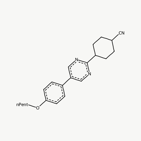 CCCCCOc1ccc(-c2cnc(C3CCC(C#N)CC3)nc2)cc1